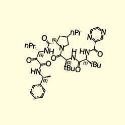 CCCC1C[C@@H](C(=O)N[C@@H](CCC)C(=O)C(=O)N[C@@H](C)c2ccccc2)N(C(=O)[C@@H](NC(=O)[C@@H](NC(=O)c2cnccn2)C(C)CC)C(C)(C)C)C1